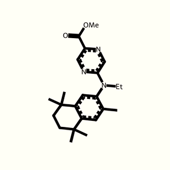 CCN(c1cnc(C(=O)OC)cn1)c1cc2c(cc1C)C(C)(C)CCC2(C)C